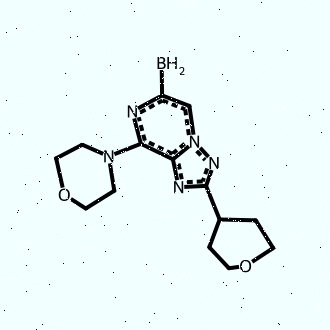 Bc1cn2nc(C3CCOCC3)nc2c(N2CCOCC2)n1